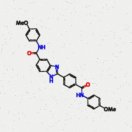 COc1ccc(NC(=O)c2ccc(-c3nc4cc(C(=O)Nc5ccc(OC)cc5)ccc4[nH]3)cc2)cc1